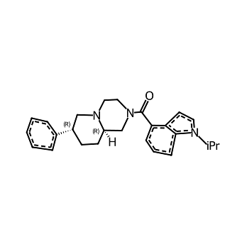 CC(C)n1ccc2c(C(=O)N3CCN4C[C@@H](c5ccccc5)CC[C@@H]4C3)cccc21